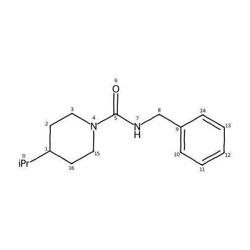 CC(C)C1CCN(C(=O)NCc2ccccc2)CC1